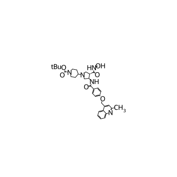 Cc1cc(COc2ccc(C(=O)N[C@H]3CN(C4CCN(C(=O)OC(C)(C)C)CC4)C[C@H]3C(=O)NO)cc2)c2ccccc2n1